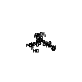 C[C@H]1CO[C@@H]2Cn3cc(C(=O)NCc4ccc(F)cc4F)c(=O)c(OCOC(=O)OCC(=O)NCc4ccccn4)c3C(=O)N12.Cl